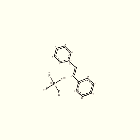 C(=C\[n+]1ccccc1)/c1ccccc1.F[B-](F)(F)F